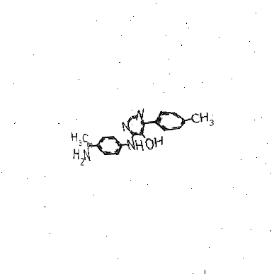 Cc1ccc(-c2ncnc(Nc3ccc([C@@H](C)N)cc3)c2O)cc1